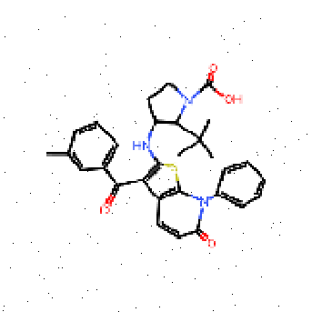 Cc1cccc(C(=O)c2c(N[C@H]3CCN(C(=O)O)C3C(C)(C)C)sc3c2ccc(=O)n3-c2ccccc2)c1